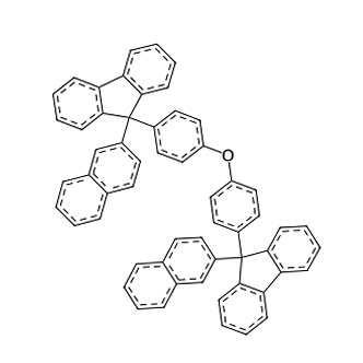 c1ccc2c(c1)-c1ccccc1C2(c1ccc(Oc2ccc(C3(c4ccc5ccccc5c4)c4ccccc4-c4ccccc43)cc2)cc1)c1ccc2ccccc2c1